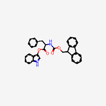 O=C(NC(Cc1ccccc1)C(=O)Oc1c[nH]c2ccccc12)OCC1c2ccccc2-c2ccccc21